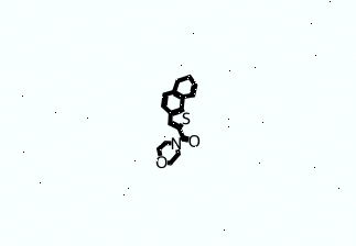 O=C(c1cc2ccc3c(c2s1)C=CCC3)N1CCOCC1